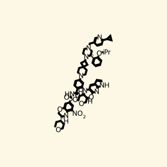 CC(C)Oc1ccccc1[C@@H]1CN(Cc2ccc(C3CC3)nc2)CCN1C1CC2(CCN(c3ccc(C(=O)NS(=O)(=O)c4cc5c(c([N+](=O)[O-])c4)N[C@H](C4CCOCC4)CO5)c(N4c5cc6cc[nH]c6nc5O[C@H]5COCC[C@@H]54)c3)CC2)C1